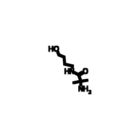 CC(C)(N)C(=O)NCCCCO